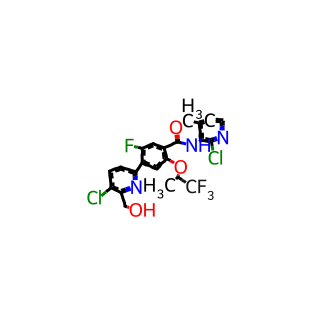 Cc1ccnc(Cl)c1NC(=O)c1cc(F)c(-c2ccc(Cl)c(CO)n2)cc1OC(C)C(F)(F)F